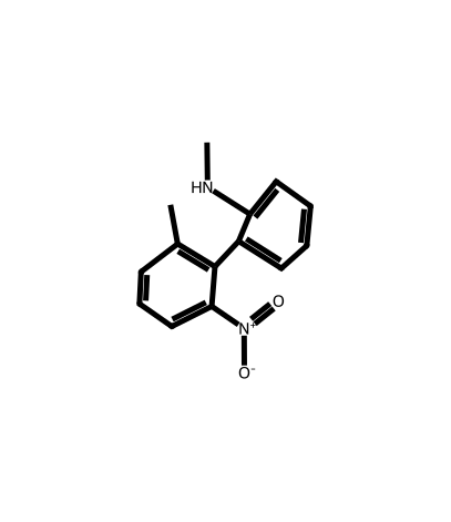 CNc1ccccc1-c1c(C)cccc1[N+](=O)[O-]